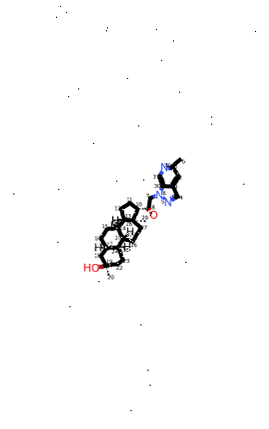 Cc1cc2cnn(CC(=O)[C@H]3CC[C@H]4[C@@H]5CC[C@@H]6C[C@](C)(O)CC[C@@H]6[C@H]5CC[C@]34C)c2cn1